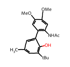 COc1cc(NC(C)=O)c(-c2cc(C)cc(C(C)(C)C)c2O)cc1OC